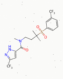 CN(CCC(C)(C)S(=O)(=O)c1cccc(C(F)(F)F)c1)C(=O)c1cc(C(F)(F)F)n[nH]1